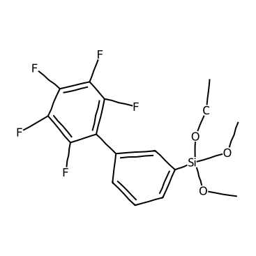 CCO[Si](OC)(OC)c1cccc(-c2c(F)c(F)c(F)c(F)c2F)c1